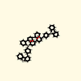 c1ccc(-c2ccc(-c3ccccc3N(c3ccc(-c4ccc(-c5ccc(-n6c7ccccc7c7ccccc76)cc5)cc4)cc3)c3ccc(-c4cccc5oc6ccccc6c45)cc3)cc2)cc1